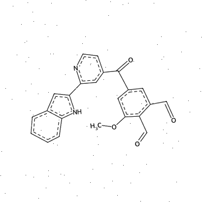 COc1cc(C(=O)c2ccnc(-c3cc4ccccc4[nH]3)c2)cc(C=O)c1C=O